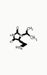 CC(C)N1C(=O)NC(=O)C1CS